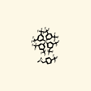 C[S+](C)Cc1ccc(C(F)(F)F)cc1.FC(F)(F)c1cc([B-](c2cc(C(F)(F)F)cc(C(F)(F)F)c2)(c2cc(C(F)(F)F)cc(C(F)(F)F)c2)c2cc(C(F)(F)F)cc(C(F)(F)F)c2)cc(C(F)(F)F)c1